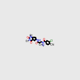 CCn1c(=O)c2cc(NC(=O)C(C)CNC(=O)c3ccc(C#N)c(Cl)c3)ccc2n(CC)c1=O